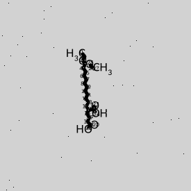 CCOC(CCCCCCCCCCCC(CCCC(=O)O)C(=O)O)OCC